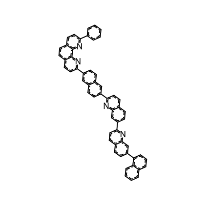 c1ccc(-c2ccc3ccc4ccc(-c5ccc6cc(-c7ccc8ccc(-c9ccc%10ccc(-c%11cccc%12ccccc%11%12)cc%10n9)cc8n7)ccc6c5)nc4c3n2)cc1